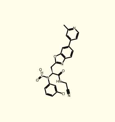 Cc1cc(-c2ccc3nc(C[C@@H](C(=O)NCC#N)N(c4cccc(Cl)c4)[SH](=O)=O)oc3c2)ccn1